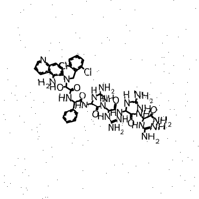 N=C(N)NC(NC(=O)C(NC(=N)N)NC(=O)C(NC(=N)N)NC(=O)C(NC(=N)N)NC(=O)C(NC(=O)C(O)N(Cc1c(Cl)cccc1Cl)c1ccc2ncccc2c1N)c1ccccc1)C(N)=O